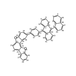 c1ccc2c(-c3c4ccccc4c(-c4ccc(-c5ccc6oc7ccc8c9ccccc9oc8c7c6c5)cc4)c4ccccc34)cccc2c1